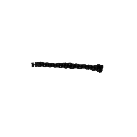 OCCOCCOCCOCCOCCOCCOCCOCCOCCOCCOCCOCCOCCOCCOCCOCCOCCOCCOCCOCCOC(c1ccccc1)(c1ccccc1)c1ccccc1